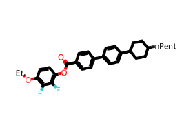 CCCCCC1CCC(c2ccc(-c3ccc(C(=O)Oc4ccc(OCC)c(F)c4F)cc3)cc2)CC1